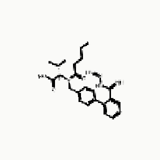 CCCCC(=O)N(Cc1ccc(-c2ccccc2C(=N)NN=N)cc1)[C@H](C(=O)O)C(C)C